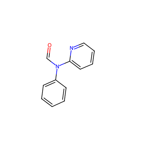 O=CN(c1ccccc1)c1ccccn1